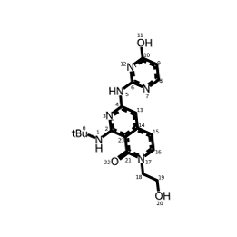 CC(C)(C)Nc1nc(Nc2nccc(O)n2)cc2ccn(CCO)c(=O)c12